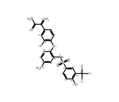 C=C(C(N)=O)c1ccc(Oc2ncc(C)cc2NS(=O)(=O)c2ccc(Cl)c(C(F)(F)F)c2)c(F)c1